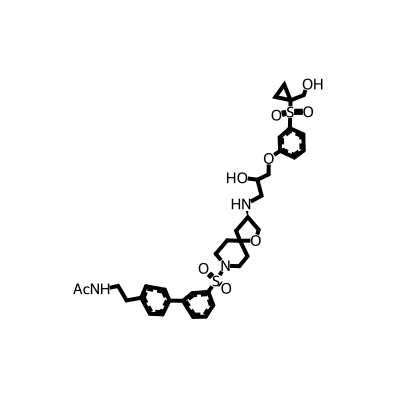 CC(=O)NCCc1ccc(-c2cccc(S(=O)(=O)N3CCC4(CC3)C[C@H](NCC(O)COc3cccc(S(=O)(=O)C5(CO)CC5)c3)CO4)c2)cc1